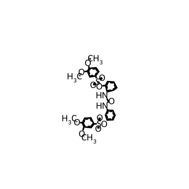 COc1ccc(S(=O)(=O)Oc2cccc(NC(=O)Nc3ccccc3OS(=O)(=O)c3ccc(OC)c(OC)c3)c2)cc1OC